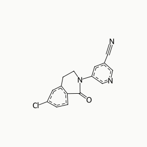 N#Cc1cncc(N2CCc3cc(Cl)ccc3C2=O)c1